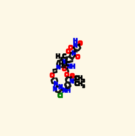 CNC(=O)COc1cc2cc(Nc3nc(N4CCC(OC5CC(N6CCCN(c7ccc8c(c7C)C(=O)N([C@@H]7CCC(=O)NC7=O)C8=O)CC6)C5)CC4)ncc3Cl)ccc2n(C(C)C)c1=O